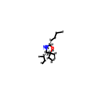 CCCC[C@H]1N[C@@H](C(C)CC)C(CC)(CC)O1